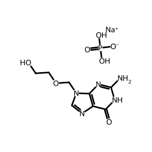 Nc1nc2c(ncn2COCCO)c(=O)[nH]1.O=P([O-])(O)O.[Na+]